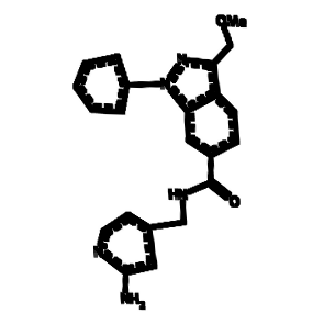 COCc1nn(-c2ccccc2)c2cc(C(=O)NCc3ccnc(N)c3)ccc12